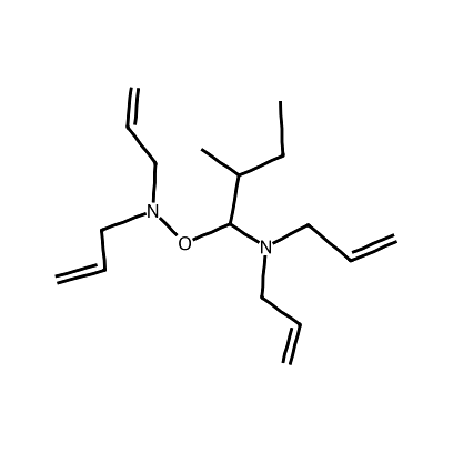 C=CCN(CC=C)OC(C(C)CC)N(CC=C)CC=C